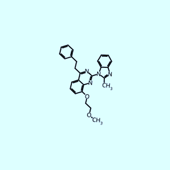 COCCOc1cccc2c(CCc3ccccc3)nc(-n3c(C)nc4ccccc43)nc12